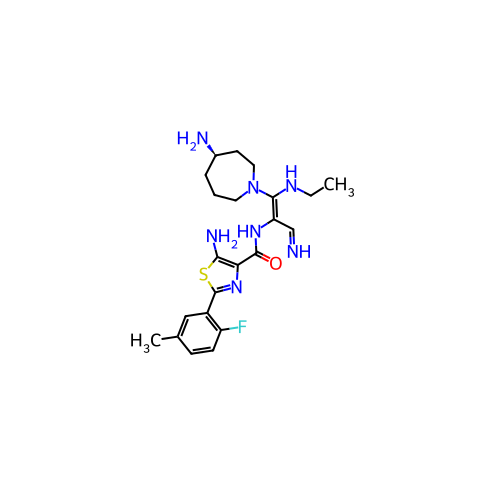 CCN/C(=C(\C=N)NC(=O)c1nc(-c2cc(C)ccc2F)sc1N)N1CCC[C@@H](N)CC1